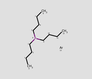 CCCCP(CCCC)CCCC.[Ar]